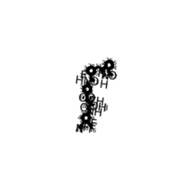 CC(O)(CS(=O)(=O)c1ccc(NC(=O)c2cc(Cc3n[nH]c(=O)c4ccccc34)ccc2F)cc1)C(=O)Nc1ccc(C#N)c(C(F)(F)F)c1